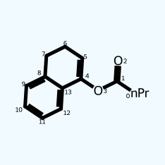 CCCC(=O)OC1=CCCc2ccccc21